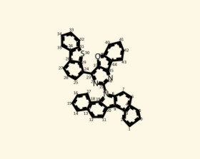 c1ccc2c(c1)ccc1c2c2ccc3ccccc3c2n1-c1nc(-c2cccc3c2sc2ccccc23)c2oc3ccccc3c2n1